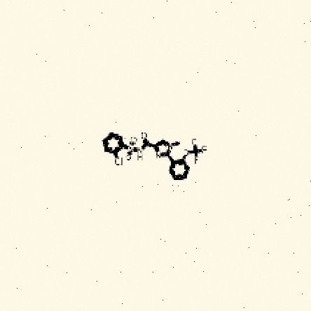 Cn1cc(C(=O)NS(=O)(=O)c2ccccc2Cl)nc1-c1ccccc1OC(F)(F)F